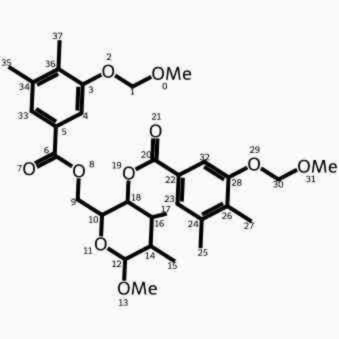 COCOc1cc(C(=O)OCC2OC(OC)C(C)C(C)C2OC(=O)c2cc(C)c(C)c(OCOC)c2)cc(C)c1C